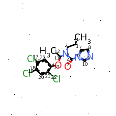 CCCN(C(=O)n1ccnc1)C(C)Oc1cc(Cl)c(Cl)cc1Cl